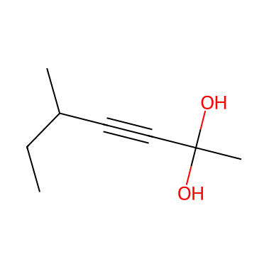 CCC(C)C#CC(C)(O)O